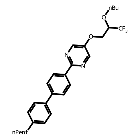 CCCCCc1ccc(-c2ccc(-c3ncc(OCC(OCCCC)C(F)(F)F)cn3)cc2)cc1